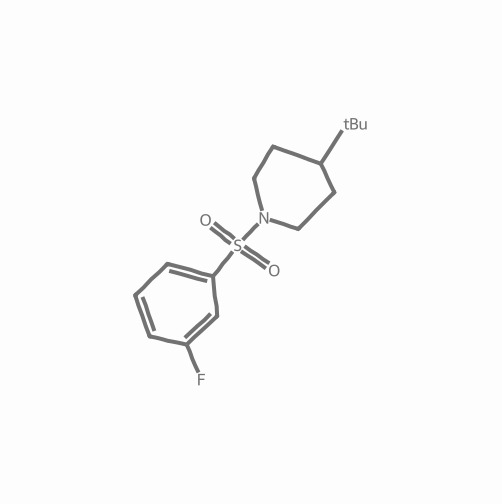 CC(C)(C)C1CCN(S(=O)(=O)c2cccc(F)c2)CC1